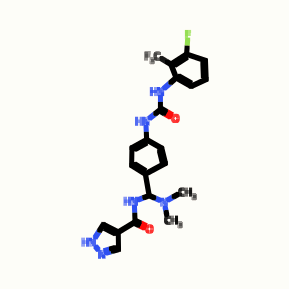 CN(C)C(NC(=O)c1cn[nH]c1)c1ccc(NC(=O)Nc2cccc(F)c2C(F)(F)F)cc1